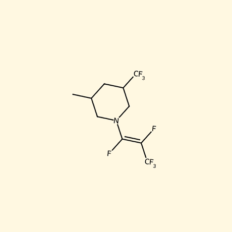 CC1CC(C(F)(F)F)CN(/C(F)=C(\F)C(F)(F)F)C1